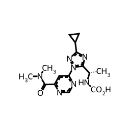 C[C@H](NC(=O)O)c1nc(C2CC2)nn1-c1cc(C(=O)N(C)C)ncn1